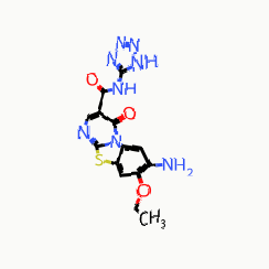 CCOc1cc2sc3ncc(C(=O)Nc4nnn[nH]4)c(=O)n3c2cc1N